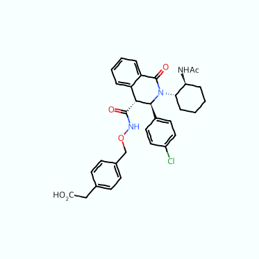 CC(=O)N[C@H]1CCCC[C@@H]1N1C(=O)c2ccccc2[C@@H](C(=O)NOCc2ccc(CC(=O)O)cc2)[C@@H]1c1ccc(Cl)cc1